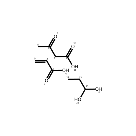 C=CC(=O)O.CC(=O)CC(=O)O.CCC(O)O